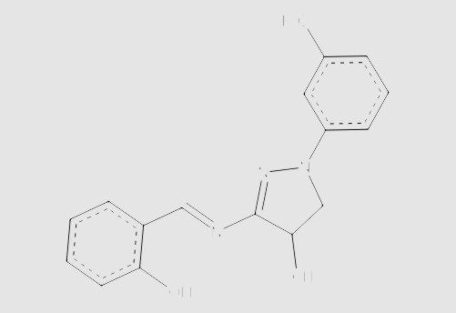 CC1CN(c2cccc(C(F)(F)F)c2)N=C1N=Cc1ccccc1O